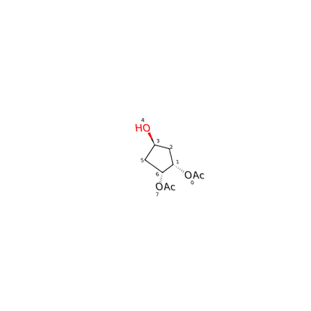 CC(=O)O[C@H]1C[C@H](O)C[C@H]1OC(C)=O